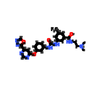 CN(C)CCNC(=O)c1cc(NC(=O)Nc2cccc(Oc3cc(-c4nnco4)ncn3)c2)cc(C(F)(F)F)c1